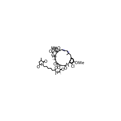 COc1cc2cc(c1Cl)N(C)C(=O)C[C@H](OC(=O)[C@H](C)N(C)C(=O)CCCCCN1C(=O)CC(C)C1=O)[C@]1(C)OC1[C@H](C)[C@@H]1C[C@@](O)(NC(=O)O1)[C@H](OC)/C=C/C=C(\C)C2